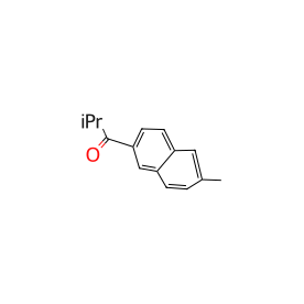 Cc1ccc2cc(C(=O)C(C)C)ccc2c1